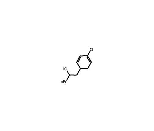 CCCC(O)CC1C=CC(Cl)=CC1